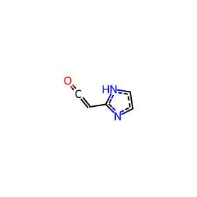 O=C=Cc1ncc[nH]1